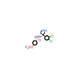 O=S(=O)(NC[C@]1(c2ccc(Cl)c(Cl)c2)CCNC1)c1ccc(OC(F)(F)F)cc1